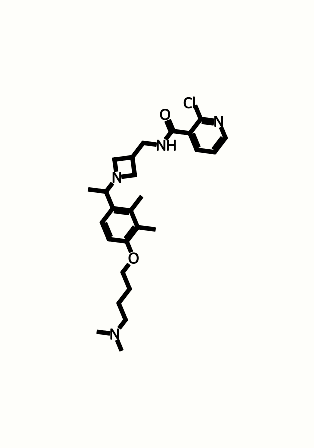 Cc1c(OCCCCN(C)C)ccc(C(C)N2CC(CNC(=O)c3cccnc3Cl)C2)c1C